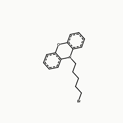 BrCCCCCN1c2ccccc2Oc2ccccc21